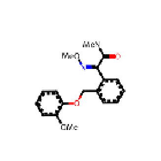 CNC(=O)C(=NOC)c1ccccc1COc1ccccc1OC